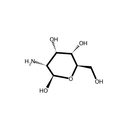 N[C@@H]1[C@H](O)[C@H](O)[C@@H](CO)O[C@H]1O